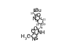 Cc1nsc(NC(=O)Cc2ccc3oc(CC(C)(C)C)nc3c2)c1Cl